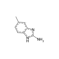 Cc1[c]c2nc(N)[nH]c2cc1